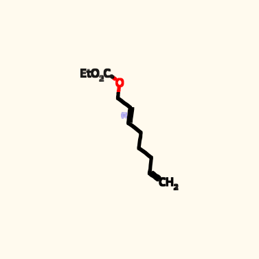 C=CCCC/C=C/COC(=O)OCC